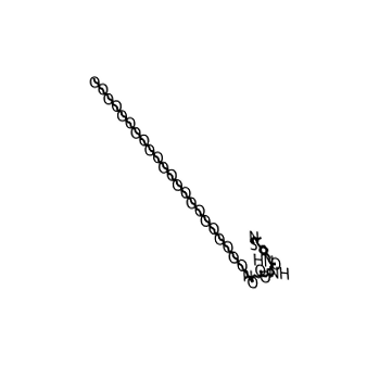 COCCOCCOCCOCCOCCOCCOCCOCCOCCOCCOCCOCCOCCOCCOCCOCCOCCOCCOCCOCCOCCOCCN(C)C(=O)CCC(=O)OC1CNC(C(=O)NCc2ccc(-c3scnc3C)cc2)C1